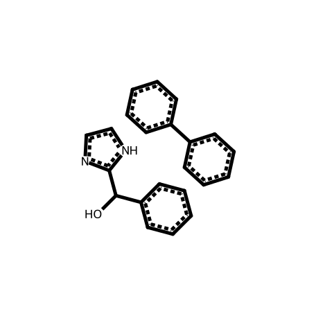 OC(c1ccccc1)c1ncc[nH]1.c1ccc(-c2ccccc2)cc1